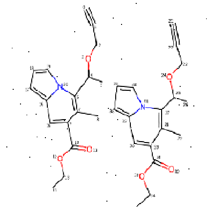 C#CCOC(C)c1c(C)c(C(=O)OCC)cc2cccn12.C#CCOC(C)c1c(C)c(C(=O)OCC)cc2cccn12